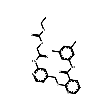 CCOC(=O)OCC(=O)Nc1cc(CSc2ncccc2C(=O)Nc2cc(C)cc(C)c2)ccn1